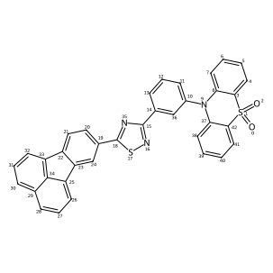 O=S1(=O)c2ccccc2N(c2cccc(-c3nsc(-c4ccc5c(c4)-c4cccc6cccc-5c46)n3)c2)c2ccccc21